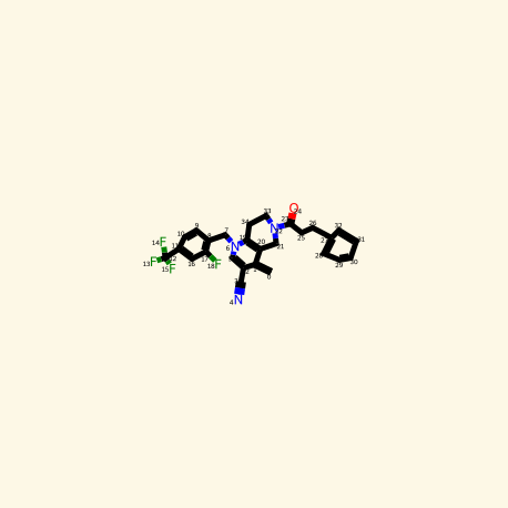 C=C1C(C#N)=CN(Cc2ccc(C(F)(F)F)cc2F)C2=C1CN(C(=O)CCc1ccccc1)CC2